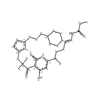 COC(=O)N/C=C/CCC(C)c1cc(O)c(C(=O)C(C)(C)Cc2ccc(CCCC3CCCCC3)s2)c(=O)o1